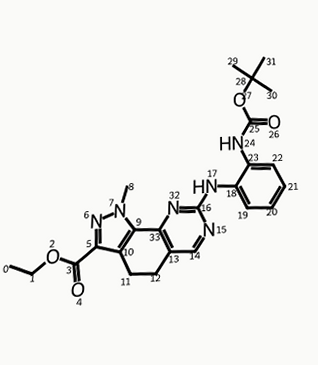 CCOC(=O)c1nn(C)c2c1CCc1cnc(Nc3ccccc3NC(=O)OC(C)(C)C)nc1-2